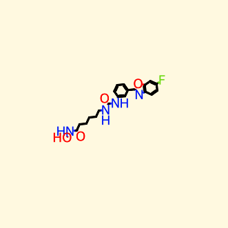 O=C(CCCCCNC(=O)Nc1cccc(-c2nc3ccc(F)cc3o2)c1)NO